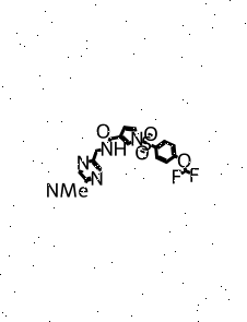 CNc1cnc(CNC(=O)c2ccn(S(=O)(=O)c3ccc(OC(F)F)cc3)c2)cn1